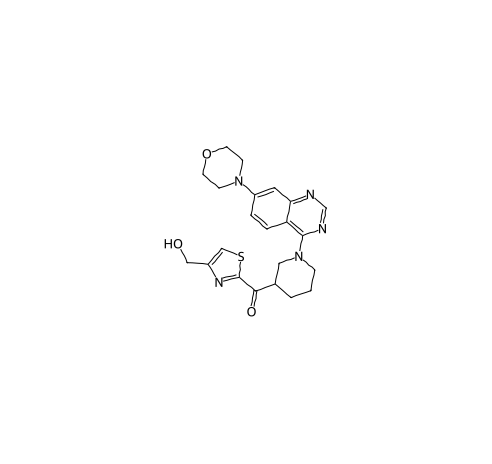 O=C(c1nc(CO)cs1)C1CCCN(c2ncnc3cc(N4CCOCC4)ccc23)C1